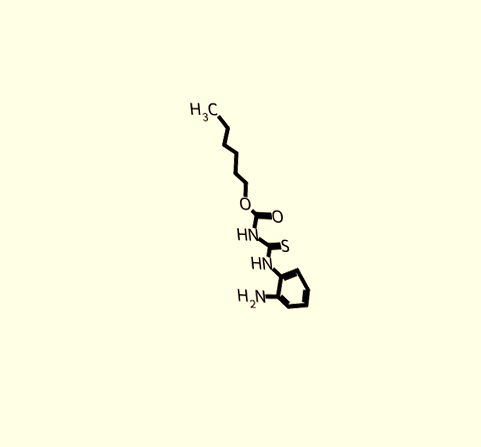 CCCCCCOC(=O)NC(=S)Nc1ccccc1N